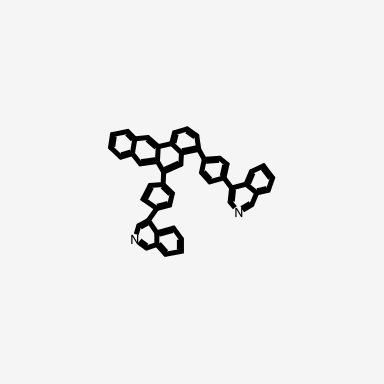 c1ccc2cc3c(cc2c1)c(-c1ccc(-c2cncc4ccccc24)cc1)cc1c(-c2ccc(-c4cncc5ccccc45)cc2)cccc13